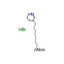 Br.CCCCCCCCCCCCCCCCc1cccnc1